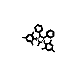 Cc1cc(C)c(N2C(c3ccccc3)C(c3ccccc3)N(c3c(C)cc(C)cc3C)C2C)c(C)c1